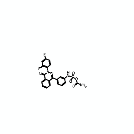 NC(=O)OS(=O)(=O)Nc1cccc(-c2nn(-c3ccc(F)cc3F)c(=O)c3ccccc23)c1